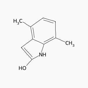 Cc1ccc(C)c2[nH]c(O)cc12